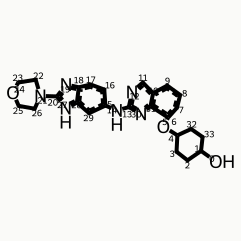 OC1CCC(Oc2cccc3cnc(Nc4ccc5nc(N6CCOCC6)[nH]c5c4)nc23)CC1